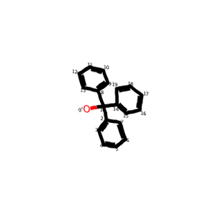 [O]C(c1ccccc1)(c1ccccc1)c1ccccc1